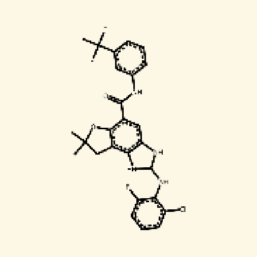 CC1(C)Cc2c3c(cc(C(=O)Nc4cccc(C(C)(F)F)c4)c2O1)NC(Nc1c(F)cccc1Cl)N3